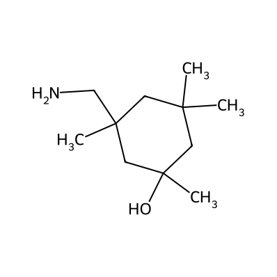 CC1(C)CC(C)(O)CC(C)(CN)C1